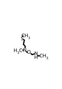 CCNCOCN(C)CCCSC